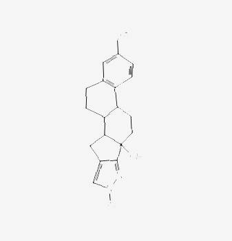 CC(=O)Oc1ccc2c(c1)CCC1C2CCC2(C)c3nn(C(C)=O)cc3CC12